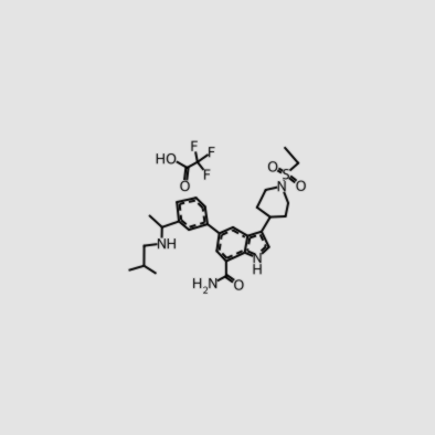 CCS(=O)(=O)N1CCC(c2c[nH]c3c(C(N)=O)cc(-c4cccc(C(C)NCC(C)C)c4)cc23)CC1.O=C(O)C(F)(F)F